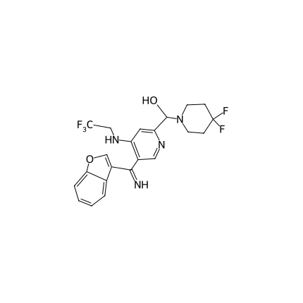 N=C(c1cnc(C(O)N2CCC(F)(F)CC2)cc1NCC(F)(F)F)c1coc2ccccc12